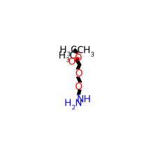 CC(C)(C)OC(=O)CCOCCOCCNN